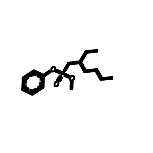 CCCCC(CC)CP(=O)(OC)Oc1ccccc1